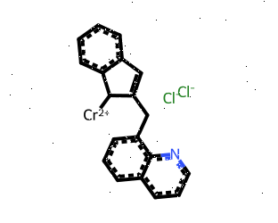 [Cl-].[Cl-].[Cr+2][CH]1C(Cc2cccc3cccnc23)=Cc2ccccc21